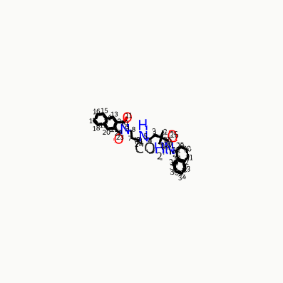 CC(C)(CCN[C@H](CCN1C(=O)c2cc3ccccc3cc2C1=O)C(=O)O)C(=O)NC1CCCc2ccccc21